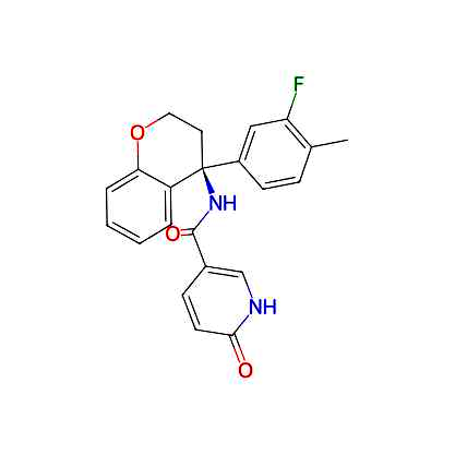 Cc1ccc([C@@]2(NC(=O)c3ccc(=O)[nH]c3)CCOc3ccccc32)cc1F